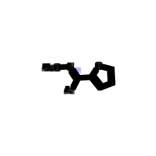 CO/N=C(\C(C)=O)c1ccco1